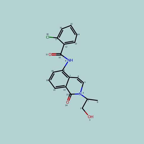 CC(CO)n1ccc2c(NC(=O)c3ccccc3Cl)cccc2c1=O